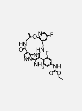 C=C1CNC(=O)c2cnn3c(N)c(-c4ccc(NC(=O)OCC)cc4F)c(nc23)NCc2cc(F)cnc2O1